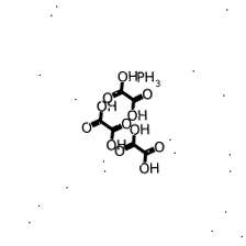 O=C(O)C(=O)O.O=C(O)C(=O)O.O=C(O)C(=O)O.P